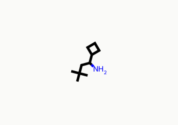 CC(C)(C)CC(N)C1CCC1